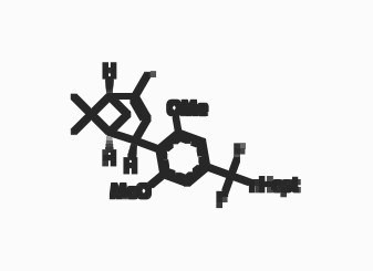 [CH2]C1=C[C@H](c2c(OC)cc(C(F)(F)CCCCCCC)cc2OC)[C@@H]2C[C@@H]1C2(C)C